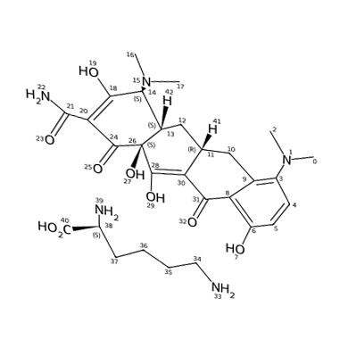 CN(C)c1ccc(O)c2c1C[C@H]1C[C@H]3[C@H](N(C)C)C(O)=C(C(N)=O)C(=O)[C@@]3(O)C(O)=C1C2=O.NCCCC[C@H](N)C(=O)O